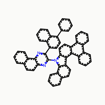 c1ccc(-c2ccc(-c3nc4c(ccc5ccccc54)nc3-n3c4ccc5c6ccccc6c6ccccc6c5c4c4ccc5ccccc5c43)c3ccccc23)cc1